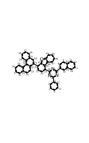 c1ccc(-c2nc(-c3ccc4ccccc4c3)nc(-c3ccc(-c4cc5ccccc5c5c4ccc4ccccc45)c4oc5ccccc5c34)n2)cc1